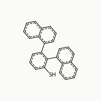 Sc1cccc(-c2cccc3ccccc23)c1-c1cccc2ccccc12